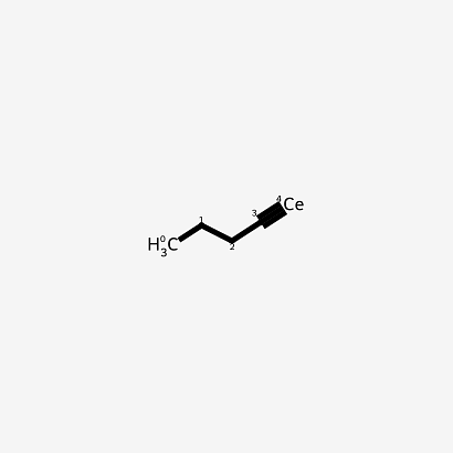 CCC[C]#[Ce]